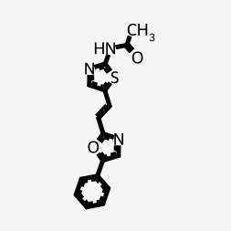 CC(=O)Nc1ncc(C=Cc2ncc(-c3ccccc3)o2)s1